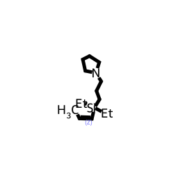 C/C=C\[Si](CC)(CC)CCCN1CCCC1